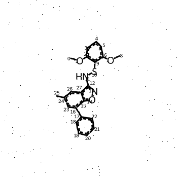 COc1cccc(OC)c1SNc1noc2c(-c3ccccc3)cc(C)cc12